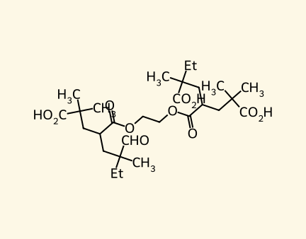 CCC(C)(C=O)CC(CC(C)(C)C(=O)O)C(=O)OCCOC(=O)C(CC(C)(C)C(=O)O)CC(C)(CC)C(=O)O